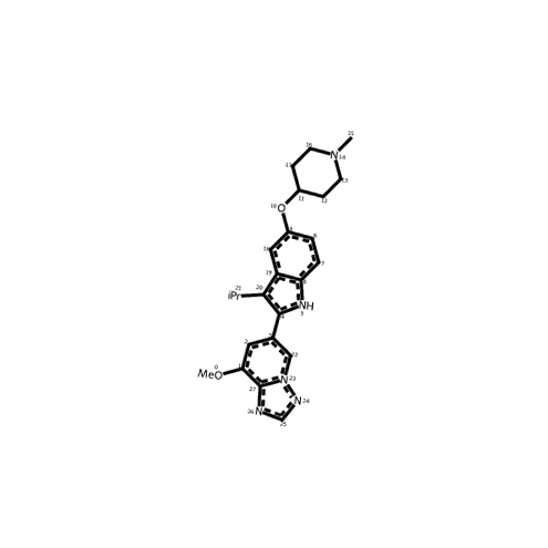 COc1cc(-c2[nH]c3ccc(OC4CCN(C)CC4)cc3c2C(C)C)cn2ncnc12